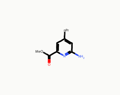 CCCc1cc(N)nc(C(=O)OC)c1